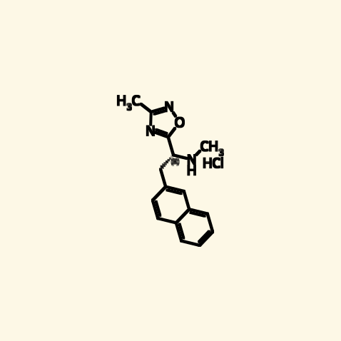 CN[C@H](Cc1ccc2ccccc2c1)c1nc(C)no1.Cl